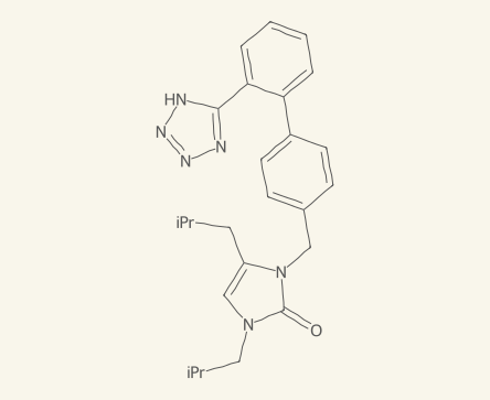 CC(C)Cc1cn(CC(C)C)c(=O)n1Cc1ccc(-c2ccccc2-c2nnn[nH]2)cc1